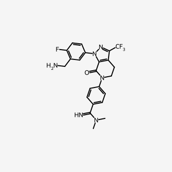 CN(C)C(=N)c1ccc(N2CCc3c(C(F)(F)F)nn(-c4ccc(F)c(CN)c4)c3C2=O)cc1